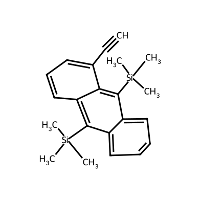 C#Cc1cccc2c([Si](C)(C)C)c3ccccc3c([Si](C)(C)C)c12